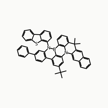 CC(C)(C)c1cc2c3c(c1)N1c4cc5ccccc5cc4C(C)(C)c4cccc(c41)B3N(c1cccc3c1sc1ccccc13)c1cc(-c3ccccc3)ccc1-2